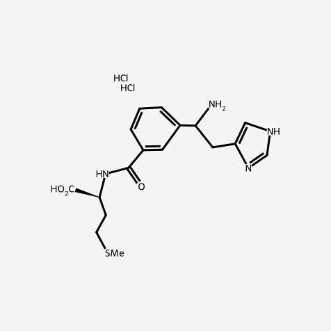 CSCC[C@H](NC(=O)c1cccc(C(N)Cc2c[nH]cn2)c1)C(=O)O.Cl.Cl